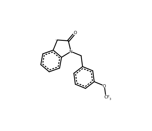 O=C1[C]c2ccccc2N1Cc1cccc(OC(F)(F)F)c1